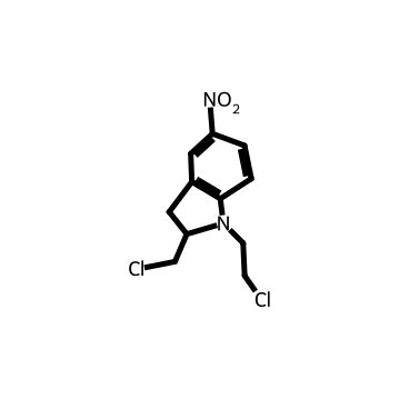 O=[N+]([O-])c1ccc2c(c1)CC(CCl)N2CCCl